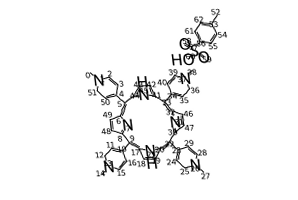 CN1C=CC(c2c3nc(c(C4=CCN(C)C=C4)c4ccc([nH]4)c(C4=CCN(C)C=C4)c4nc(c(C5=CCN(C)C=C5)c5ccc2[nH]5)C=C4)C=C3)=CC1.Cc1ccc(S(=O)(=O)O)cc1